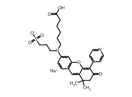 CC1(C)CC(=O)C(c2ccncc2)=C2Oc3cc(N(CCCCCC(=O)O)CCCS(=O)(=O)[O-])ccc3C=C21.[Na+]